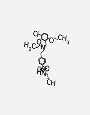 C#CCNS(=O)(=O)c1ccc(CCN(Cc2cc(Cl)ccc2OCCC)C(=O)C=C)cc1